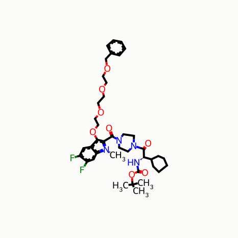 Cn1c(C(=O)N2CCN(C(=O)[C@@H](NC(=O)OC(C)(C)C)C3CCCCC3)CC2)c(OCCOCCOCCOCc2ccccc2)c2cc(F)c(F)cc21